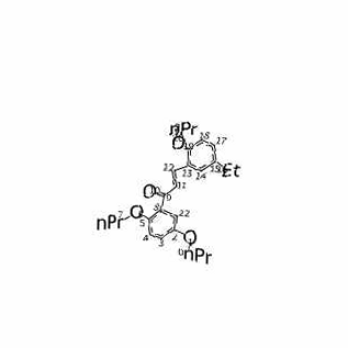 CCCOc1ccc(OCCC)c(C(=O)/C=C/c2cc(CC)ccc2OCCC)c1